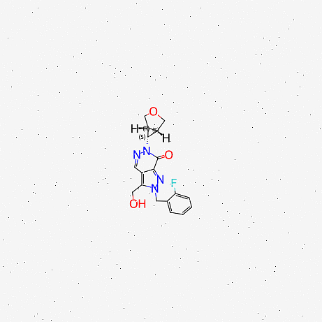 O=c1c2nn(Cc3ccccc3F)c(CO)c2cnn1[C@@H]1[C@@H]2COC[C@@H]21